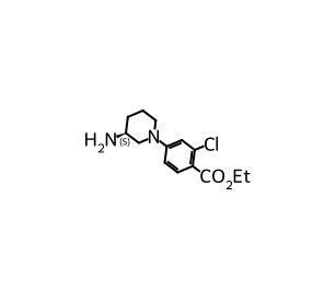 CCOC(=O)c1ccc(N2CCC[C@H](N)C2)cc1Cl